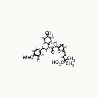 COc1ccc(CCN(C(=O)Nc2ncc(SCC(C)(C)C(=O)O)s2)C2CCC(C)CC2)cc1F